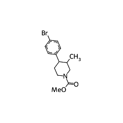 COC(=O)N1CCC(c2ccc(Br)cc2)C(C)C1